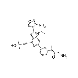 CCn1c(-c2nonc2N)nc2c(C#CC(C)(C)O)nc(-c3cccc(NC(=O)CN)c3)cc21